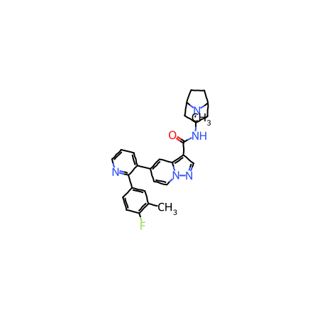 Cc1cc(-c2ncccc2-c2ccn3ncc(C(=O)NC4CC5CCC(C4)N5C)c3c2)ccc1F